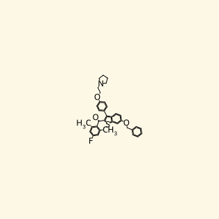 Cc1cc(F)cc(C)c1C(=O)c1sc2cc(OCc3ccccc3)ccc2c1-c1ccc(OCCN2CCCC2)cc1